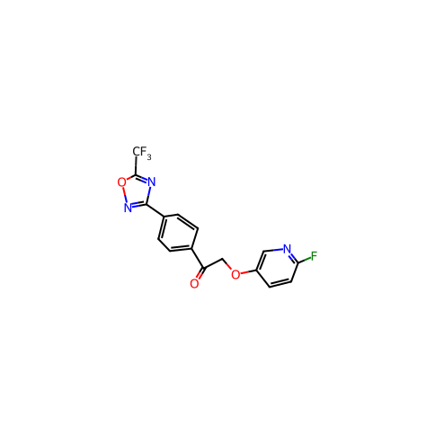 O=C(COc1ccc(F)nc1)c1ccc(-c2noc(C(F)(F)F)n2)cc1